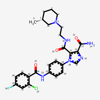 C[C@@H]1CCCN(CCNC(=O)c2c(C(N)=O)ncn2-c2ccc(NC(=O)c3ccc(F)cc3Cl)cc2)C1